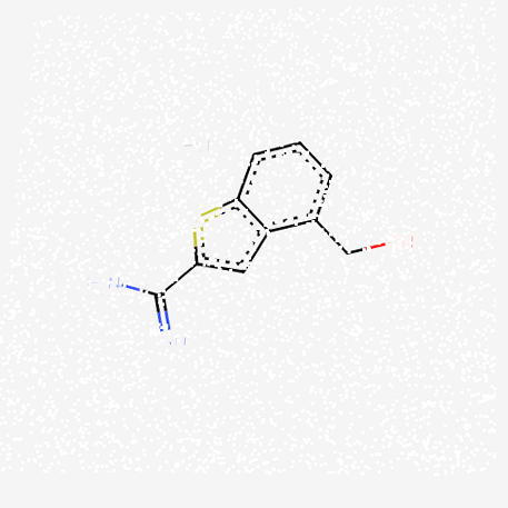 Cl.N=C(N)c1cc2c(CO)cccc2s1